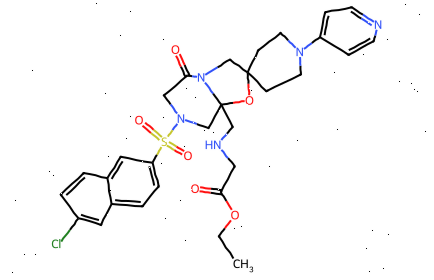 CCOC(=O)CNCC12CN(S(=O)(=O)c3ccc4cc(Cl)ccc4c3)CC(=O)N1CC1(CCN(c3ccncc3)CC1)O2